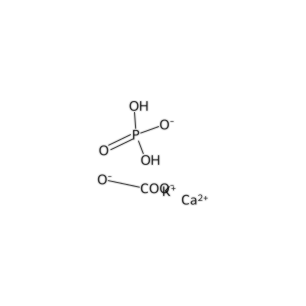 O=C([O-])[O-].O=P([O-])(O)O.[Ca+2].[K+]